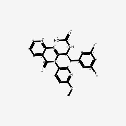 COc1ccc(-n2c([C@H](Cc3cc(F)cc(F)c3)NC(=O)O)nc3ncccc3c2=O)cn1